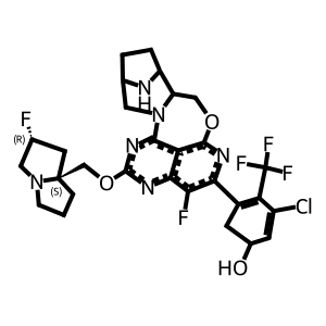 OC1C=C(Cl)C(C(F)(F)F)=C(c2nc3c4c(nc(OC[C@@]56CCCN5C[C@H](F)C6)nc4c2F)N2CC4CCC(N4)C2CO3)C1